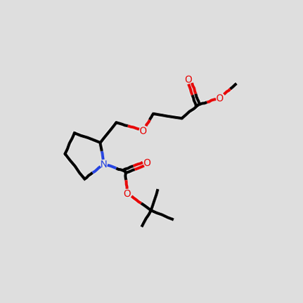 COC(=O)CCOCC1CCCN1C(=O)OC(C)(C)C